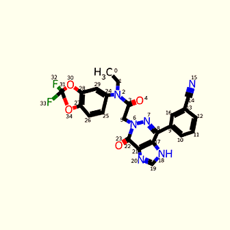 CCN(C(=O)Cn1nc(-c2cccc(C#N)c2)c2[nH]cnc2c1=O)c1ccc2c(c1)OC(F)(F)O2